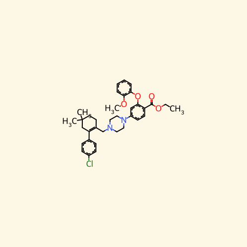 CCOC(=O)c1ccc(N2CCN(CC3=C(c4ccc(Cl)cc4)CC(C)(C)CC3)CC2)cc1Oc1ccccc1OC